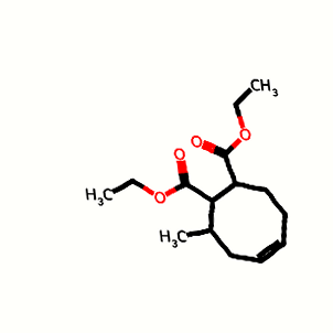 CCOC(=O)C1CC/C=C\CC(C)C1C(=O)OCC